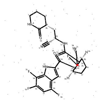 N#C[C@H](C[C@H]1CCCNC1=O)NC(=O)[C@H]1[C@H]2CC[C@H](CC2(F)F)N1C(=O)c1cc2c(F)cc(F)c(F)c2[nH]1